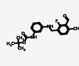 Cc1ccc(CNc2cccc(NC(=O)OC(C)(C)C)c2)c(F)c1C=O